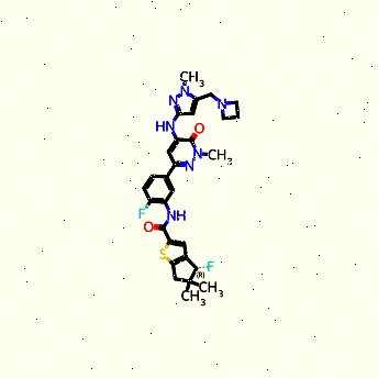 Cn1nc(Nc2cc(-c3ccc(F)c(NC(=O)c4cc5c(s4)CC(C)(C)[C@H]5F)c3)nn(C)c2=O)cc1CN1CCC1